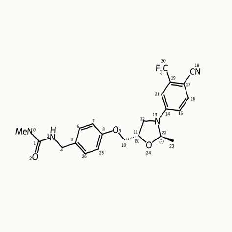 CNC(=O)NCc1ccc(OC[C@@H]2CN(c3ccc(C#N)c(C(F)(F)F)c3)[C@@H](C)O2)cc1